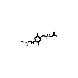 C=C(C)CO/N=C/c1cc(C)c(N=CN(C)CC)cc1C